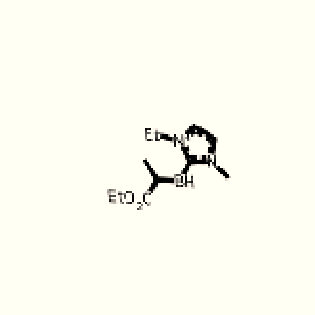 CCOC(=O)C(C)Bc1n(C)cc[n+]1CC